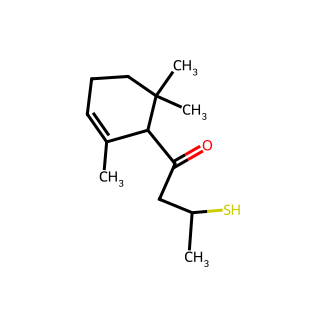 CC1=CCCC(C)(C)C1C(=O)CC(C)S